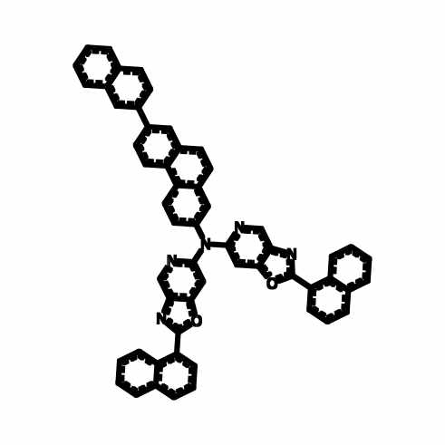 c1ccc2cc(-c3ccc4c(ccc5cc(N(c6cc7oc(-c8cccc9ccccc89)nc7cn6)c6cc7oc(-c8cccc9ccccc89)nc7cn6)ccc54)c3)ccc2c1